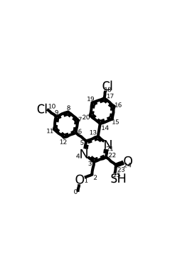 COCc1nc(-c2ccc(Cl)cc2)c(-c2ccc(Cl)cc2)nc1C(=O)S